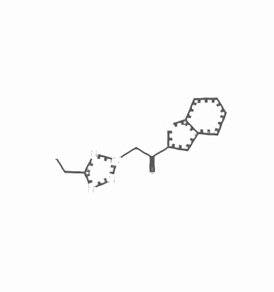 O=C(Cn1nnc(CCl)n1)c1cc2ccccc2o1